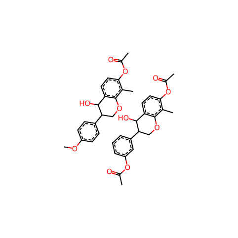 CC(=O)Oc1cccc(C2COc3c(ccc(OC(C)=O)c3C)C2O)c1.COc1ccc(C2COc3c(ccc(OC(C)=O)c3C)C2O)cc1